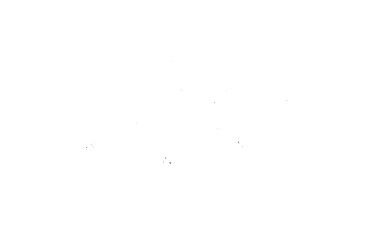 O=C1c2cc(Br)cnc2-c2ncc(Br)cc21